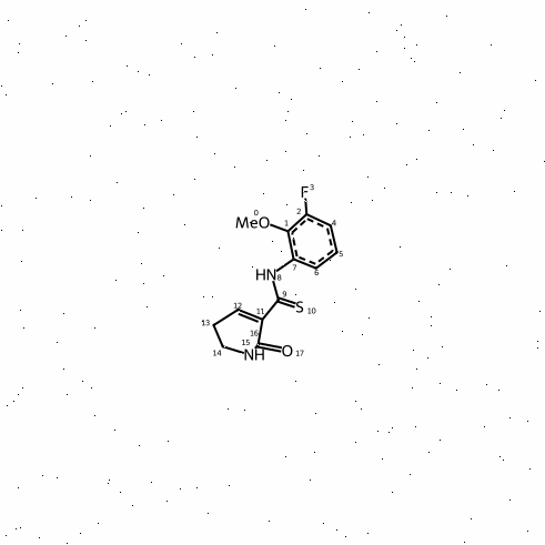 COc1c(F)cccc1NC(=S)C1=CCCNC1=O